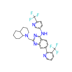 FC(F)(F)c1ccc(Nc2nc(CN3CCCC4CCCCC43)nc3cc(-c4ncccc4C(F)(F)F)ccc23)cn1